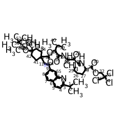 CC(C)c1ccc2ccc(/C=C/C3(C(=O)O[C@H](C(=O)N[C@@H](C)C(=O)N4CCC[C@@H](C(=O)OCC(Cl)(Cl)Cl)N4)C(C)C)CCC(C)(O[Si](C)(C)C(C)(C)C)CC3)cc2n1